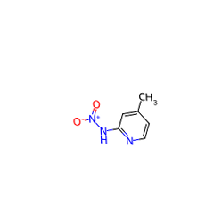 Cc1ccnc(N[N+](=O)[O-])c1